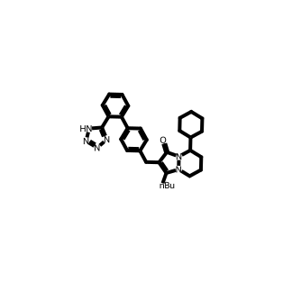 CCCCc1c(Cc2ccc(-c3ccccc3-c3nnn[nH]3)cc2)c(=O)n2n1CCCC2C1CCCCC1